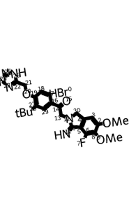 Br.COc1cc2c(c(F)c1OC)C(=N)N(CC(=O)c1ccc(OCc3nnn[nH]3)c(C(C)(C)C)c1)C2